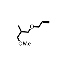 C=CCOCC(C)COC